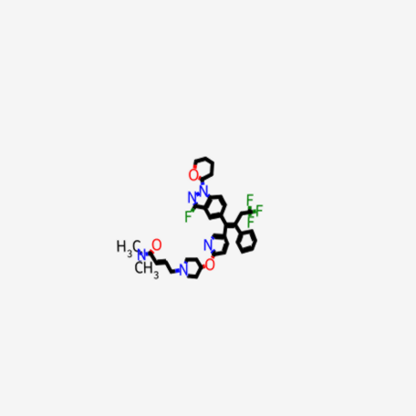 CN(C)C(=O)/C=C/CN1CCC(Oc2ccc(/C(=C(/CC(F)(F)F)c3ccccc3)c3ccc4c(c3)c(F)nn4C3CCCCO3)cn2)CC1